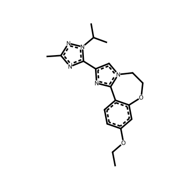 CCOc1ccc2c(c1)OCCn1cc(-c3nc(C)nn3C(C)C)nc1-2